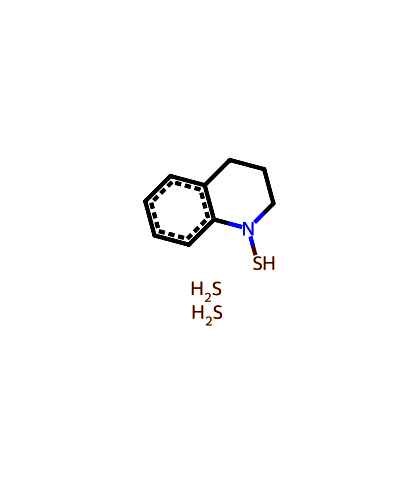 S.S.SN1CCCc2ccccc21